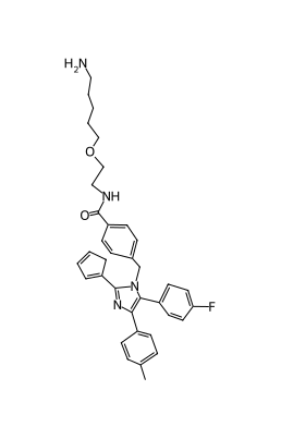 Cc1ccc(-c2nc(C3=CC=CC3)n(Cc3ccc(C(=O)NCCOCCCCCN)cc3)c2-c2ccc(F)cc2)cc1